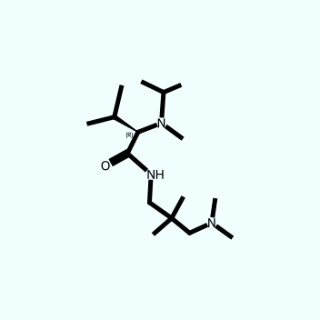 CC(C)[C@H](C(=O)NCC(C)(C)CN(C)C)N(C)C(C)C